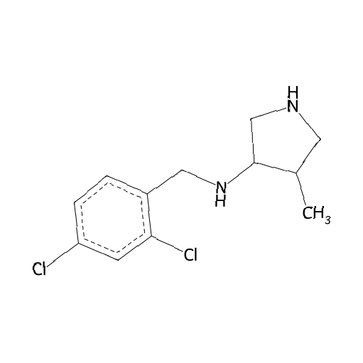 CC1CNCC1NCc1ccc(Cl)cc1Cl